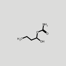 CCCC(O)OC(N)=O